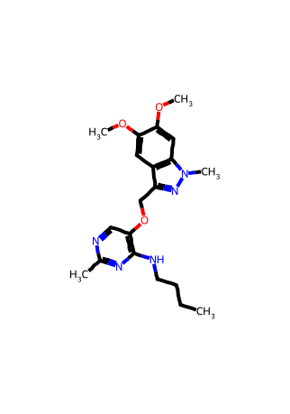 CCCCNc1nc(C)ncc1OCc1nn(C)c2cc(OC)c(OC)cc12